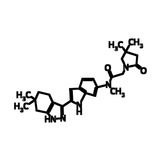 CN(C(=O)CN1CC(C)(C)CC1=O)c1ccc2cc(-c3n[nH]c4c3CCC(C)(C)C4)[nH]c2c1